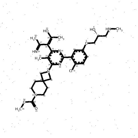 CNC[C@@H](O)COc1ccc(Cl)c(-c2nc(/C(C(C)=N)=C(\C)O)c(C)c(N3CC4(CCN(C(=O)OC)CC4)C3)n2)c1